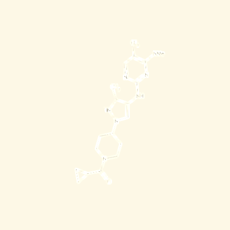 CNc1nc(NC2=CN(C3CCN(C(=O)C4CC4)CC3)NC2C)ncc1C(F)(F)F